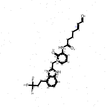 O=C/C=C/CCCC(=O)Nc1cccn(Cc2nc3c(CCC(F)(F)F)cccc3[nH]2)c1=O